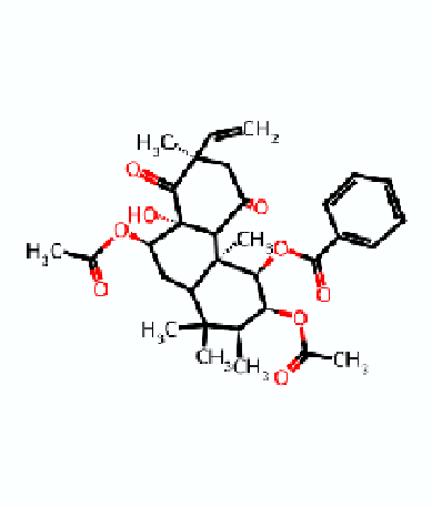 C=C[C@@]1(C)CC(=O)C2[C@]3(C)C(C[C@@H](OC(C)=O)[C@@]2(O)C1=O)C(C)(C)[C@H](C)[C@H](OC(C)=O)[C@@H]3OC(=O)c1ccccc1